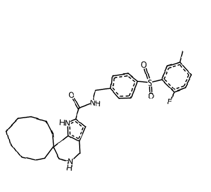 Cc1ccc(F)c(S(=O)(=O)c2ccc(CNC(=O)c3cc4c([nH]3)C3(CCCCCCCCC3)CNC4)cc2)c1